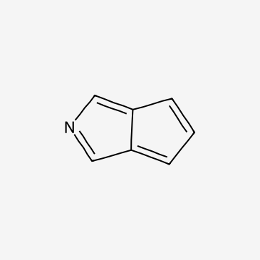 C1=CC2=CN=CC2=C1